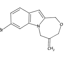 C=C1COCc2cc3ccc(Br)cc3n2C1